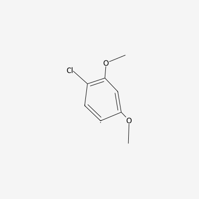 COc1[c]cc(Cl)c(OC)c1